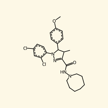 COc1ccc(C2C(C)C(C(=O)NN3CCCCCCC3)=NN2c2ccc(Cl)cc2Cl)cc1